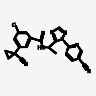 CC(NC(=O)c1cc(Cl)cc(C2(C#N)CC2)c1)c1ncnn1-c1ccc(C#N)cn1